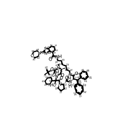 C[C@@H](C(=O)NC(O)(C(=O)N1CCC[C@H]1C(=O)N[C@H](C(=O)NCCCCCCNC(=O)c1cccc2sc(N3CCOCC3)nc12)C(c1ccccc1)c1ccccc1)C1CCCCC1)N(C)C(=O)OC(C)(C)C